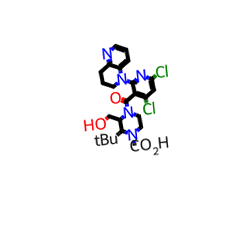 CC(C)(C)C1C(CO)N(C(=O)c2c(Cl)cc(Cl)nc2N2CCCc3ncccc32)CCN1C(=O)O